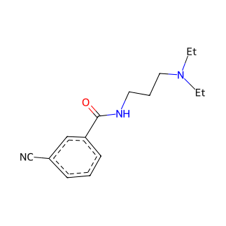 CCN(CC)CCCNC(=O)c1cccc(C#N)c1